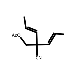 CC=CC(C#N)(C=CC)COC(C)=O